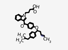 C/C=C/CC(Oc1ccc(C(=O)c2cn(CCCC(=O)O)c3ccccc23)cc1)c1ccc(CC(C)C)cc1